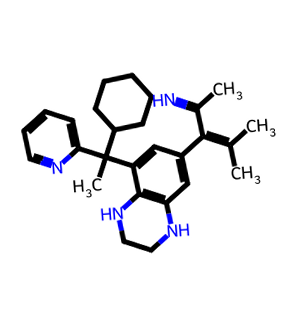 CC(=N)C(=C(C)C)c1cc2c(c(C(C)(c3ccccn3)C3CCCCC3)c1)NCCN2